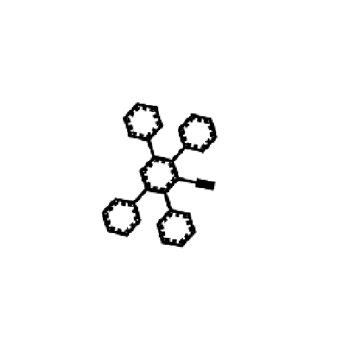 C#Cc1c(-c2ccccc2)c(-c2ccccc2)[c]c(-c2ccccc2)c1-c1ccccc1